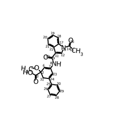 COC1(C(=O)O)C=C(NC(=O)c2cn(C(C)=O)c3ccccc23)C=C(c2ccccc2)C1